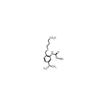 CN(C)c1ccc(CSCCCC(=O)O)c(NC(=O)OC(C)(C)C)c1